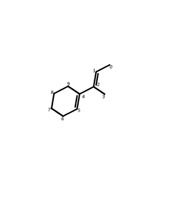 CC=C(C)C1=CCCCC1